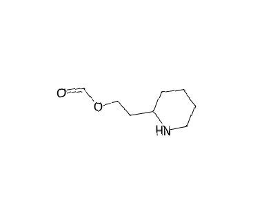 O=COCCC1CCCCN1